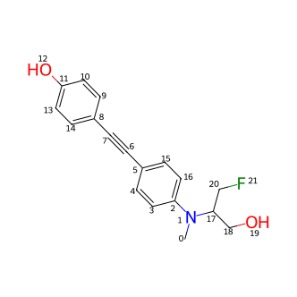 CN(c1ccc(C#Cc2ccc(O)cc2)cc1)C(CO)CF